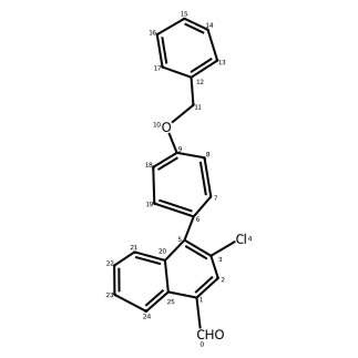 O=Cc1cc(Cl)c(-c2ccc(OCc3ccccc3)cc2)c2ccccc12